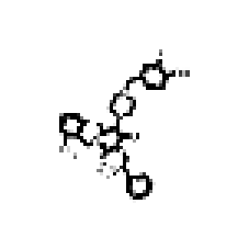 Cc1c(N2CCN(Cc3ccc(O)c(F)c3)CC2)c(=O)n(C[C@H](N)c2ccccc2)c(=O)n1Cc1c(F)cccc1C(F)(F)F